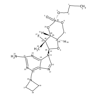 CCCO[P@]1(=O)OC[C@H]2O[C@@H](n3cnc4c(N5CCC5)nc(N)nc43)[C@](C)(F)[C@@H]2O1